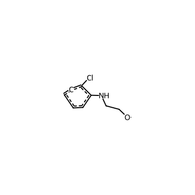 [O]CCNc1ccccc1Cl